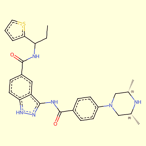 CCC(NC(=O)c1ccc2[nH]nc(NC(=O)c3ccc(N4C[C@@H](C)N[C@@H](C)C4)cc3)c2c1)c1cccs1